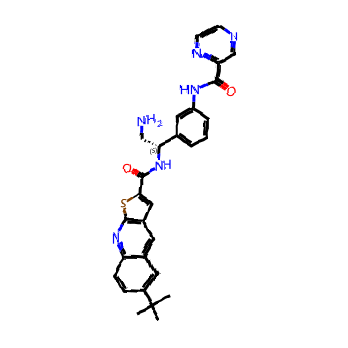 CC(C)(C)c1ccc2nc3sc(C(=O)N[C@H](CN)c4cccc(NC(=O)c5cnccn5)c4)cc3cc2c1